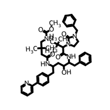 COC(=O)NCC(C)(C)CC(=O)NC(Cc1ccc(-c2ccccn2)cc1)CC(O)C(Cc1ccccc1)NC(=O)C(N1CCN(Cc2ccccc2)C1=O)C(C)(C)C